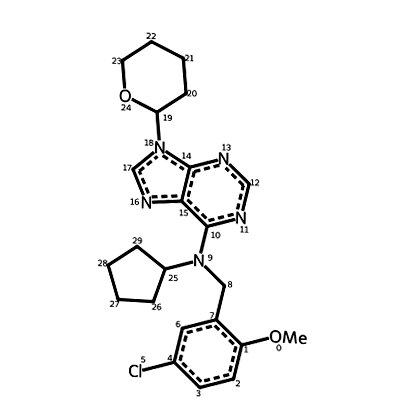 COc1ccc(Cl)cc1CN(c1ncnc2c1ncn2C1CCCCO1)C1CCCC1